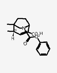 C[C@H]1C=C(C(=O)O)C2CCC1(C)CN2C(=O)Oc1ccccc1